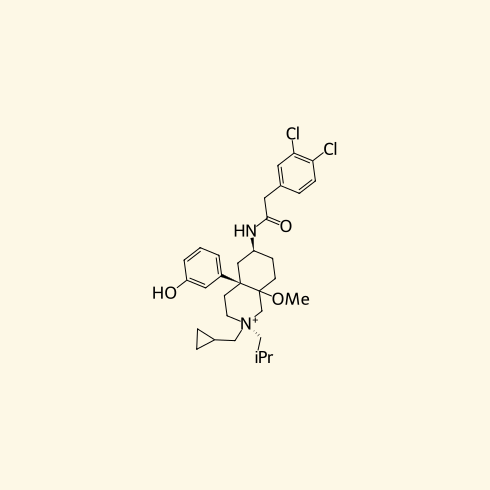 COC12CC[C@H](NC(=O)Cc3ccc(Cl)c(Cl)c3)C[C@@]1(c1cccc(O)c1)CC[N@+](CC(C)C)(CC1CC1)C2